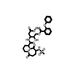 CC(C)(C)OC(=O)CC(NC(=O)C1CCCN2C(=O)CCC(NS(C)(=O)=O)C(=O)N12)C(O)COC(=O)c1ccccc1Oc1ccccc1